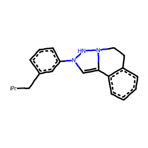 CC(C)Cc1cccc(N2C=C3c4ccccc4CCN3N2)c1